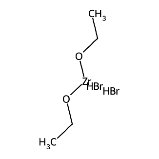 Br.Br.CC[O][Zr][O]CC